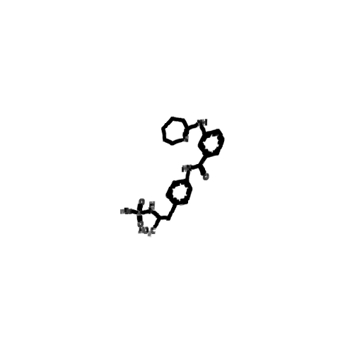 CCCCS(=O)(=O)NC(Cc1ccc(NC(=O)c2cccc(NC3=NCCCCC3)c2)cc1)C(=O)O